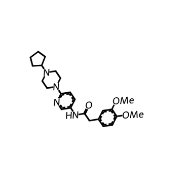 COc1ccc(CC(=O)Nc2ccc(N3CCN(C4CCCC4)CC3)nc2)cc1OC